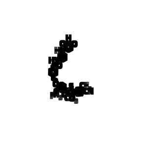 CC1(C)C(=O)N(c2ccc(C#N)c(C(F)(F)F)c2)C(=S)N1c1ccc(OCCC2CCN(CC(=O)Nc3cccc(NC4CCC(=O)NC4=O)c3)CC2)c(CCF)c1